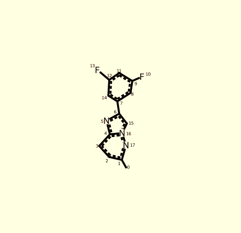 Cc1ccc2nc(-c3cc(F)cc(F)c3)cn2n1